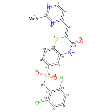 CSc1nccc(/C=C2\Sc3ccc(S(=O)(=O)Cc4c(Cl)cccc4Cl)cc3NC2=O)n1